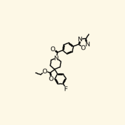 CCOC(=O)C1(c2ccc(F)cc2)CCN(C(=O)c2ccc(-c3nc(C)no3)cc2)CC1